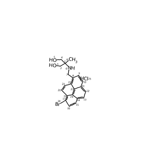 CC(CO)(CO)NCc1ccc2ccc3ccc(Br)c4ccc1c2c34.Cl